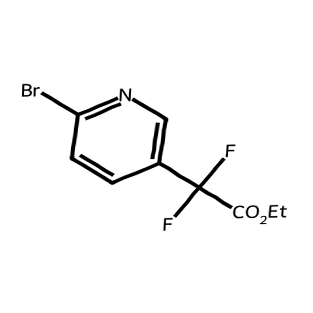 CCOC(=O)C(F)(F)c1ccc(Br)nc1